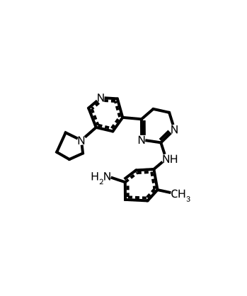 Cc1ccc(N)cc1NC1=NCCC(c2cncc(N3CCCC3)c2)=N1